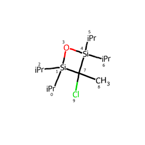 CC(C)[Si]1(C(C)C)O[Si](C(C)C)(C(C)C)C1(C)Cl